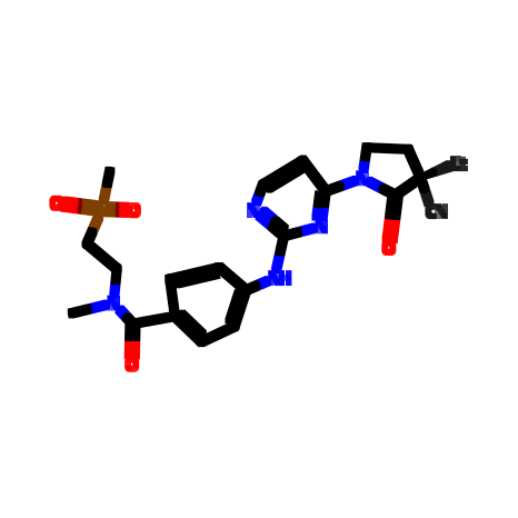 CC[C@]1(C#N)CCN(c2ccnc(Nc3ccc(C(=O)N(C)CCS(C)(=O)=O)cc3)n2)C1=O